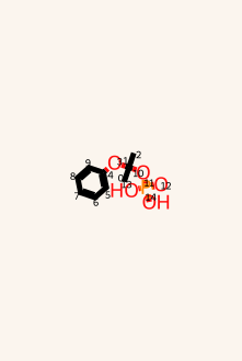 CC(C)(Oc1ccccc1)OP(=O)(O)O